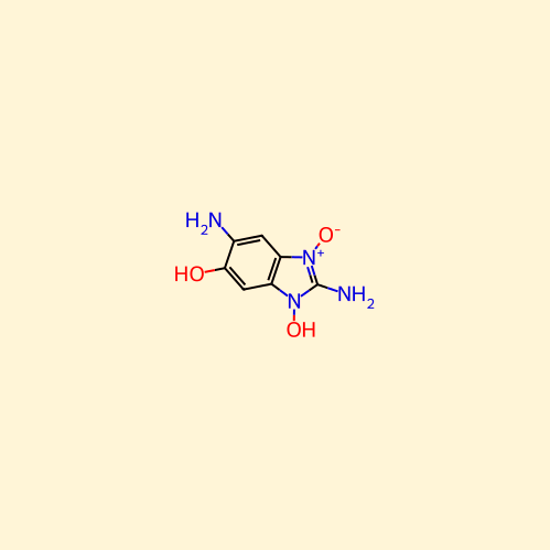 Nc1cc2c(cc1O)n(O)c(N)[n+]2[O-]